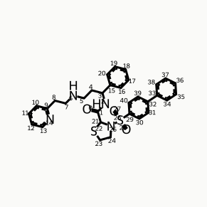 O=C(NC(CCNCCc1ccccn1)c1ccccc1)C1SCCN1S(=O)(=O)c1ccc(-c2ccccc2)cc1